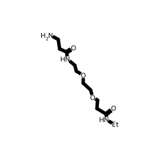 CCNC(=O)CCOCCOCCNC(=O)CCN